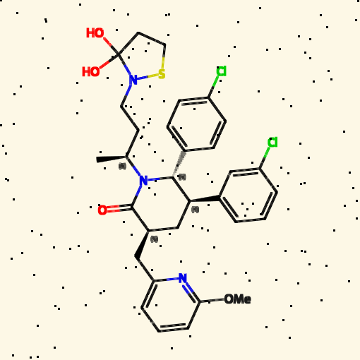 COc1cccc(C[C@@H]2C[C@H](c3cccc(Cl)c3)[C@@H](c3ccc(Cl)cc3)N([C@@H](C)CCN3SCCC3(O)O)C2=O)n1